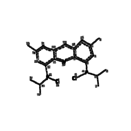 Cc1cc(P(Cl)C(C)C)c2nc3c(P(Cl)C(C)C)cc(C)cc3cc2c1